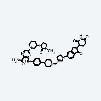 CN1CCN(C2CCCN(c3cnc(C(N)=O)c(Nc4ccc(C5CCN(C[C@H]6CCN(c7ccc8c(c7)CC(C7CCC(=O)NC7=O)C8=O)C6)CC5)cc4)n3)C2)C1=O